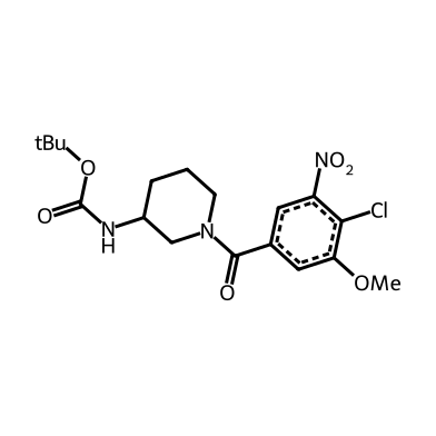 COc1cc(C(=O)N2CCCC(NC(=O)OC(C)(C)C)C2)cc([N+](=O)[O-])c1Cl